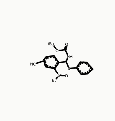 CC[S+]([O-])c1cc(C#N)ccc1C(NC(=O)OC(C)(C)C)Sc1ccccc1